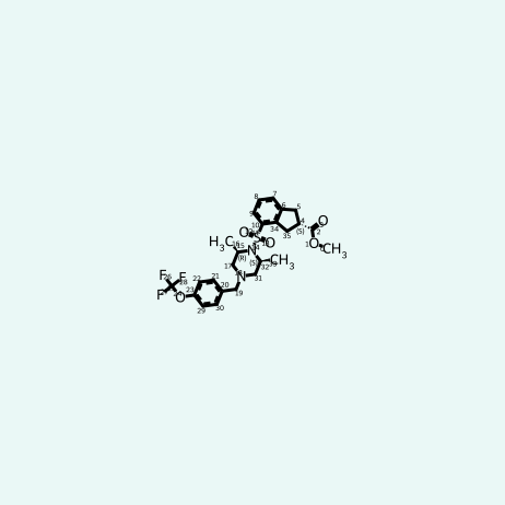 COC(=O)[C@H]1Cc2cccc(S(=O)(=O)N3[C@H](C)CN(Cc4ccc(OC(F)(F)F)cc4)C[C@@H]3C)c2C1